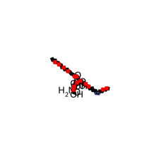 CCCCCC/C=C\CCCCCCCC(=O)O[C@H](COC(=O)CCCCCCCCCCCCCCCC)COP(=O)(O)OC[C@H](N)C(=O)O